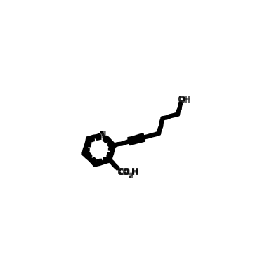 O=C(O)c1cccnc1C#CCCCO